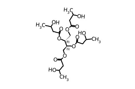 CC(O)CC(=O)OC[C@H](OC(=O)CC(C)O)[C@@H](COC(=O)CC(C)O)OC(=O)CC(C)O